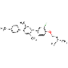 CC(C)=CCOc1ccc(-c2cc(C)c(-c3ccc(C)cc3)cc2C)cc1F